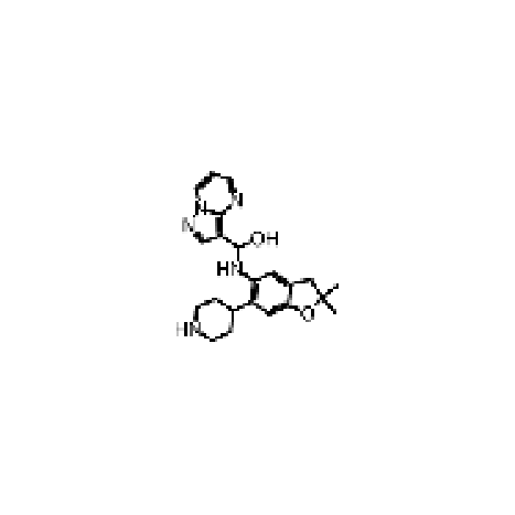 CC1(C)Cc2cc(NC(O)c3cnn4cccnc34)c(C3CCNCC3)cc2O1